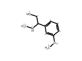 CNC(CO)c1cccc(OC)c1